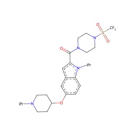 CC(C)N1CCC(Oc2ccc3c(c2)cc(C(=O)N2CCN(S(=O)(=O)C(F)(F)F)CC2)n3C(C)C)CC1